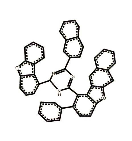 c1ccc(-c2ccc3oc4cc5ccccc5cc4c3c2C2=NC(c3ccc4ccccc4c3)=NC(c3cccc4oc5ccccc5c34)N2)cc1